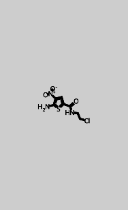 Nc1sc(C(=O)NCCCl)cc1[N+](=O)[O-]